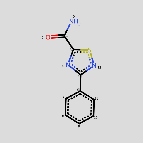 NC(=O)c1nc(-c2ccccc2)ns1